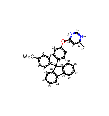 COc1ccc(C2(c3ccc(Oc4cc(C)ncn4)cc3)c3ccccc3-c3ccccc32)cc1